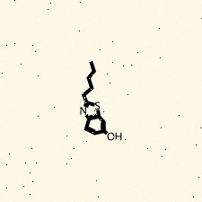 CCCCCc1nc2ccc(O)cc2s1